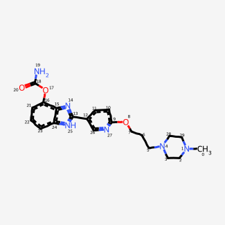 CN1CCN(CCCOc2ccc(-c3nc4c(OC(N)=O)cccc4[nH]3)cn2)CC1